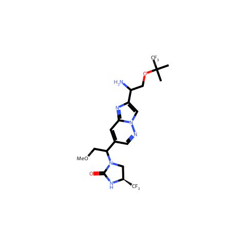 COCC(c1cnn2cc(C(N)COC(C)(C)C(F)(F)F)nc2c1)N1C[C@@H](C(F)(F)F)NC1=O